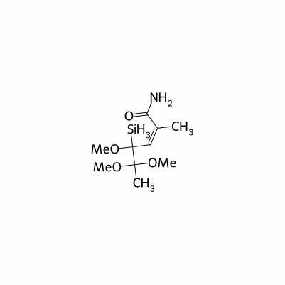 COC([SiH3])(C=C(C)C(N)=O)C(C)(OC)OC